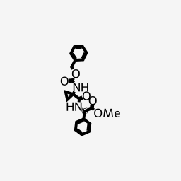 COC(=O)[C@@H](NC(=O)C1(NC(=O)OCc2ccccc2)CC1)c1ccccc1